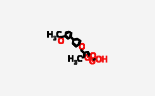 CC(=O)c1cccc(-c2ccc(OCc3cc(OC(=O)O)oc3C)cc2)c1